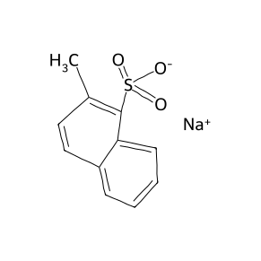 Cc1ccc2ccccc2c1S(=O)(=O)[O-].[Na+]